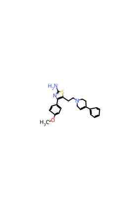 COc1ccc(-c2nc(N)sc2CCN2CC=C(c3ccccc3)CC2)cc1